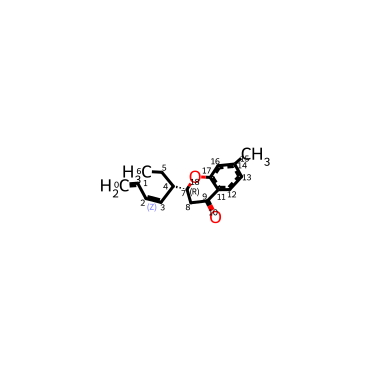 C=C/C=C\C(CC)[C@H]1CC(=O)c2ccc(C)cc2O1